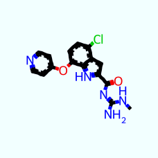 CNC(N)=NC(=O)c1cc2c(Cl)ccc(Oc3ccncc3)c2[nH]1